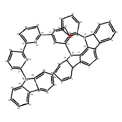 C1=CC2c3ccc4c5ccccc5n(-c5ccccc5)c4c3N(c3cccc(-c4cccc(-c5cccc(-n6c7ccccc7c7ccccc76)n5)n4)c3)C2C=C1